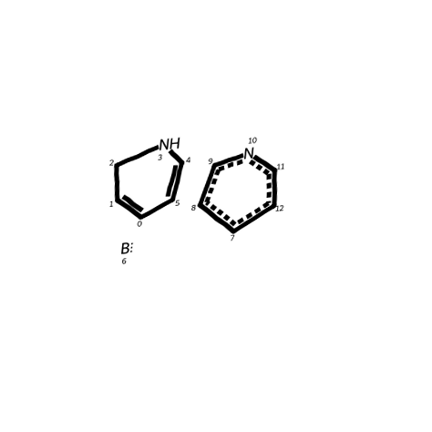 C1=CCNC=C1.[B].c1ccncc1